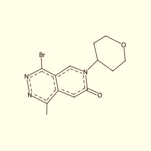 Cc1nnc(Br)c2cn(C3CCOCC3)c(=O)cc12